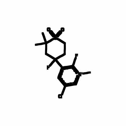 C[n+]1cc(Cl)cc(C2(F)CCS(=O)(=O)C(C)(C)C2)c1F